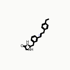 CCc1ccc(C/C=C/c2cccc(CC3NCC(=O)N3)c2)cc1